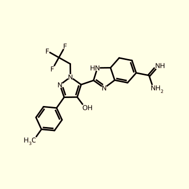 Cc1ccc(-c2nn(CC(F)(F)F)c(C3=NC4=CC(C(=N)N)=CCC4N3)c2O)cc1